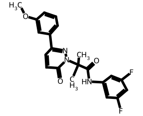 COc1cccc(-c2ccc(=O)n(C(C)(C)C(=O)Nc3cc(F)cc(F)c3)n2)c1